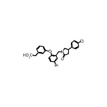 O=C(O)Cc1cccc(Oc2ccc(Br)cc2CN2CC(c3ccc(Cl)cc3)CC2=O)c1